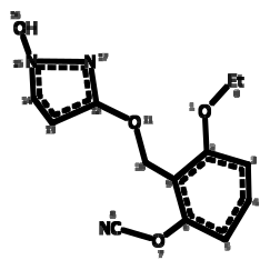 CCOc1cccc(OC#N)c1COc1ccn(O)n1